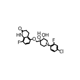 O=C1CCc2c(OC[C@@]3(O)CCN(c4ccc(Cl)cc4F)C[C@H]3O)ccc(F)c2N1